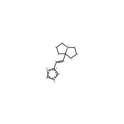 C(=C\C12CCCN1CCC2)/c1cnco1